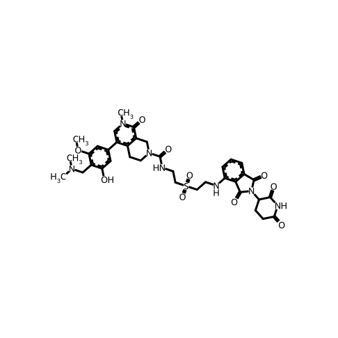 COc1cc(-c2cn(C)c(=O)c3c2CCN(C(=O)NCCS(=O)(=O)CCNc2cccc4c2C(=O)N(C2CCC(=O)NC2=O)C4=O)C3)cc(O)c1CN(C)C